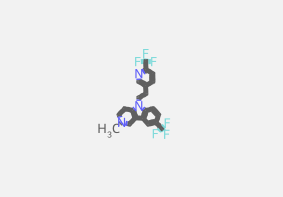 CN1CCc2c(c3cc(C(F)(F)F)ccc3n2CCc2ccc(C(F)(F)F)nc2)C1